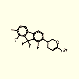 CCCC1=CCC(c2ccc3c(c2F)C(F)(F)c2c-3ccc(C)c2F)CO1